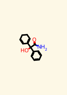 NC(=O)C(O)(C1=CCCC=C1)c1ccccc1